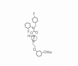 COc1cccc(OCC[N+]23CCC(CC2)[C@@H](OC(=O)N(Cc2ccc(F)cc2)c2ccccc2F)C3)c1